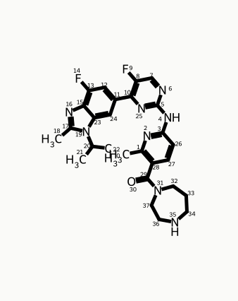 Cc1nc(Nc2ncc(F)c(-c3cc(F)c4nc(C)n(C(C)C)c4c3)n2)ccc1C(=O)N1CCCNCC1